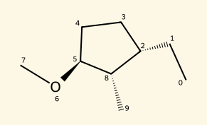 CC[C@H]1CC[C@H](OC)[C@H]1C